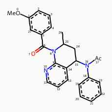 COc1cccc(C(=O)N2c3ncccc3C(N(C(C)=O)c3ccccc3)CC2C)c1